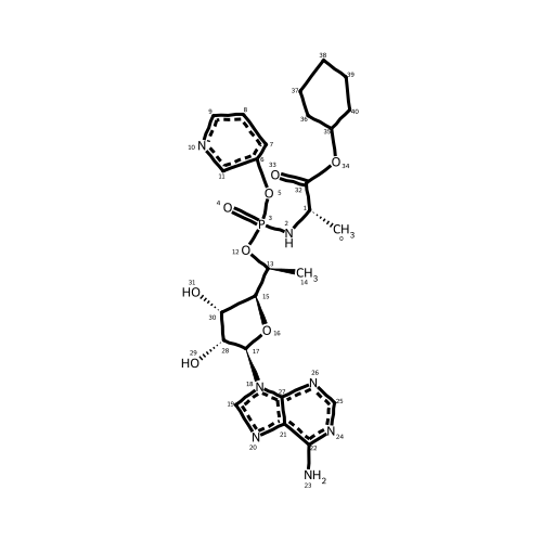 C[C@H](NP(=O)(Oc1cccnc1)O[C@@H](C)[C@H]1O[C@@H](n2cnc3c(N)ncnc32)[C@H](O)[C@@H]1O)C(=O)OC1CCCCC1